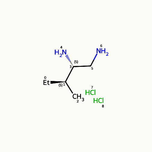 CC[C@H](C)[C@H](N)CN.Cl.Cl